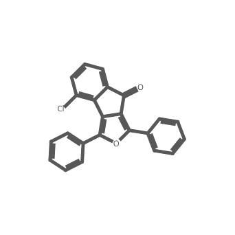 O=C1c2cccc(Cl)c2-c2c(-c3ccccc3)oc(-c3ccccc3)c21